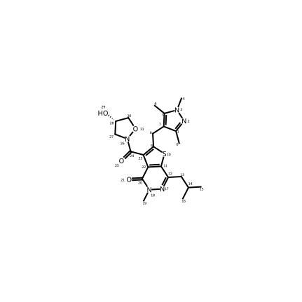 Cc1nn(C)c(C)c1Cc1sc2c(CC(C)C)nn(C)c(=O)c2c1C(=O)N1C[C@H](O)CO1